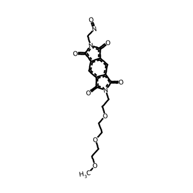 COCCOCCOCCn1c(=O)c2cc3c(=O)n(CN=O)c(=O)c3cc2c1=O